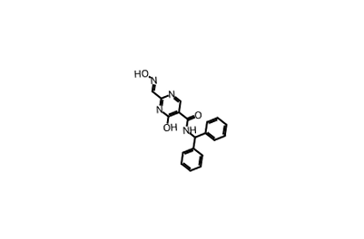 O=C(NC(c1ccccc1)c1ccccc1)c1cnc(C=NO)nc1O